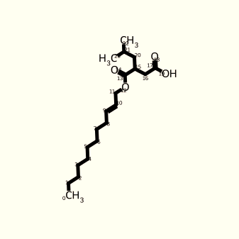 CCCCCCCCCC=CCOC(=O)C(CC(=O)O)CC(C)C